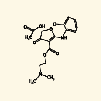 CC(=O)O.CN(C)CCOC(=O)C1=C(Nc2ccccc2Cl)OCC1=O